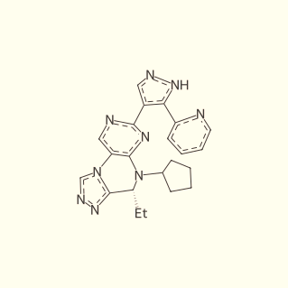 CC[C@@H]1c2nncn2-c2cnc(-c3cn[nH]c3-c3ccccn3)nc2N1C1CCCC1